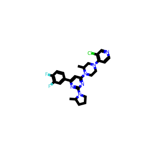 CC1CN(c2ccncc2Cl)CCN1c1cc(-c2ccc(F)c(F)c2)nc(N2CCCC2C)n1